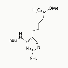 C=C(CCCCc1cnc(N)nc1NCCCC)OC